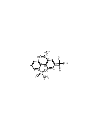 NS(=O)(=O)c1ccccc1-c1ncc(C(F)(F)F)cc1[N+](=O)[O-]